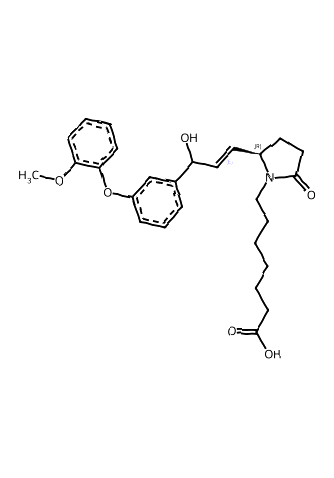 COc1ccccc1Oc1cccc(C(O)/C=C/[C@H]2CCC(=O)N2CCCCCCC(=O)O)c1